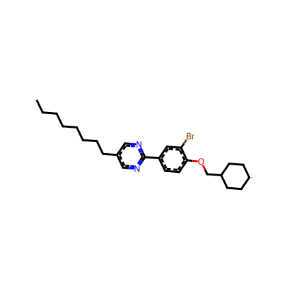 CCCCCCCCc1cnc(-c2ccc(OCC3CC[CH]CC3)c(Br)c2)nc1